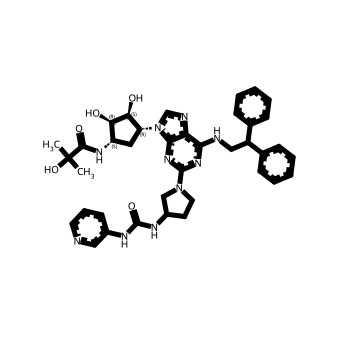 CC(C)(O)C(=O)N[C@H]1C[C@@H](n2cnc3c(NCC(c4ccccc4)c4ccccc4)nc(N4CCC(NC(=O)Nc5cccnc5)C4)nc32)[C@H](O)[C@@H]1O